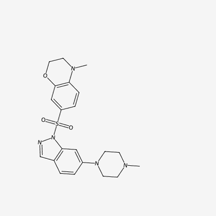 CN1CCN(c2ccc3cnn(S(=O)(=O)c4ccc5c(c4)OCCN5C)c3c2)CC1